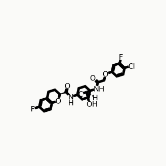 O=C(COc1ccc(Cl)c(F)c1)NC12CCC(NC(=O)[C@@H]3CCc4cc(F)ccc4O3)(CC1)C[C@@H]2O